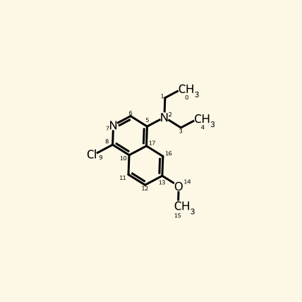 CCN(CC)c1cnc(Cl)c2ccc(OC)cc12